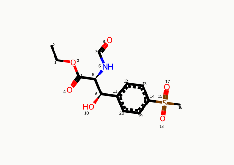 CCOC(=O)[C@@H](NC=O)[C@H](O)c1ccc(S(C)(=O)=O)cc1